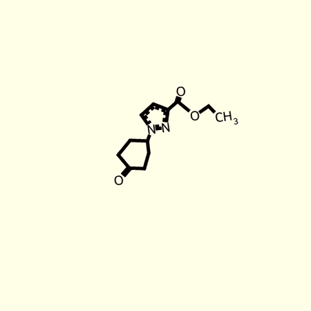 CCOC(=O)c1ccn(C2CCC(=O)CC2)n1